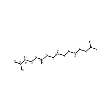 CC(C)CCNCCNCCNCCNC(C)C